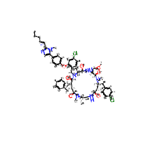 CCC/C=C/c1ncc(-c2ccc(Oc3cc(Cl)ccc3CN3C(=O)C[C@@H](Cc4ccccc4)C(=O)N(C)[C@@H](C)CNC(=O)C[C@H](Cc4ccc(Cl)cc4)N(C)C(=O)[C@H](COC)NC(=O)[C@@H]3C)cc2)n1C